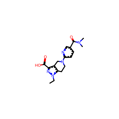 CCn1nc(C(=O)O)c2c1CCN(c1ccc(C(=O)N(C)C)cn1)C2